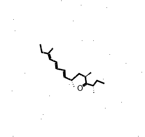 CC/C(C)=C/C=C/C=C/[C@@H](C)C[C@@H](C)C(=O)[C@@H](C)CC